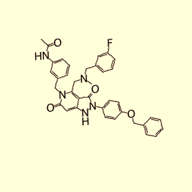 CC(=O)Nc1cccc(Cn2c(CN(C)Cc3cccc(F)c3)c3c(=O)n(-c4ccc(OCc5ccccc5)cc4)[nH]c3cc2=O)c1